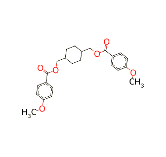 COc1ccc(C(=O)OCC2CCC(COC(=O)c3ccc(OC)cc3)CC2)cc1